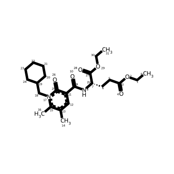 CCOC(=O)CC[C@H](NC(=O)c1cc(C)c(C)n(CC2CCCCC2)c1=O)C(=O)OCC